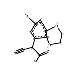 CC(=O)C(C#N)c1cc(F)cc2c1OCCO2